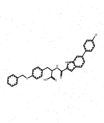 O=C(NC(Cc1ccc(OCc2ccccc2)cc1)C(=O)O)c1cc2ccc(-c3ccc(Cl)cc3)cc2[nH]1